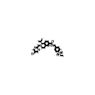 CCS(=O)(=O)c1ccc(CNC(=O)c2ccc3c(c2)CCN(Cc2ncc(Br)cn2)[C@@H]3C(C)C)cc1